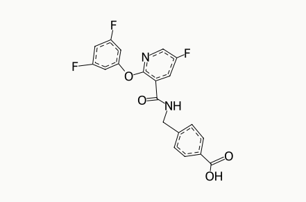 O=C(O)c1ccc(CNC(=O)c2cc(F)cnc2Oc2cc(F)cc(F)c2)cc1